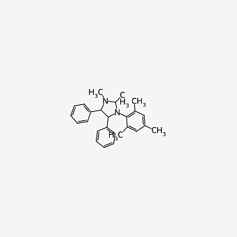 Cc1cc(C)c(N2C(c3ccccc3)C(c3ccccc3)N(C)C2C)c(C)c1